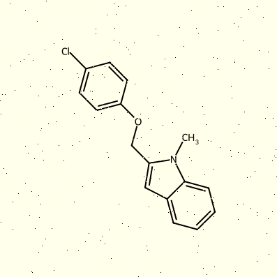 Cn1c(COc2ccc(Cl)cc2)cc2ccccc21